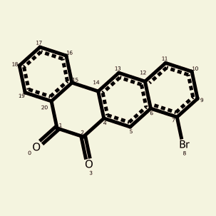 O=C1C(=O)c2cc3c(Br)cccc3cc2-c2ccccc21